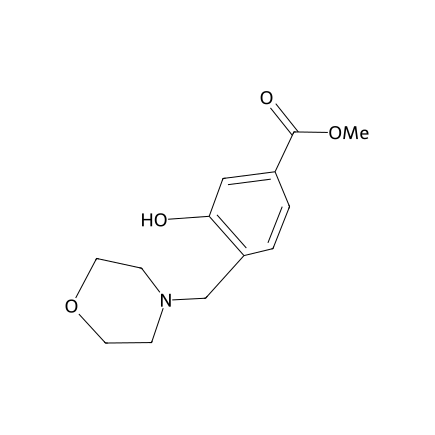 COC(=O)c1ccc(CN2CCOCC2)c(O)c1